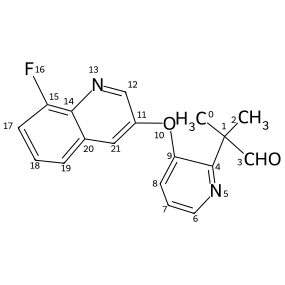 CC(C)(C=O)c1ncccc1Oc1cnc2c(F)cccc2c1